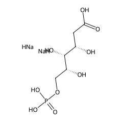 O=C(O)C[C@H](O)[C@@H](O)[C@H](O)COP(=O)(O)O.[NaH].[NaH]